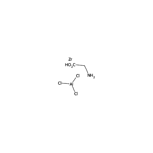 NCC(=O)O.[Cl][Al]([Cl])[Cl].[Zr]